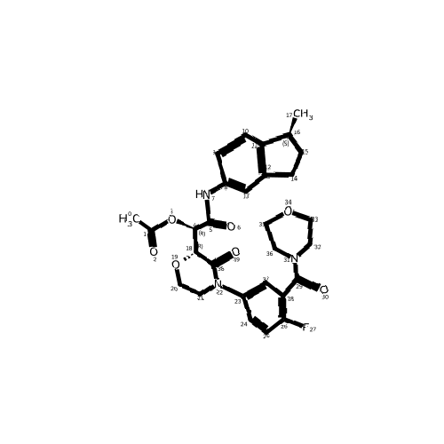 CC(=O)O[C@@H](C(=O)Nc1ccc2c(c1)CC[C@@H]2C)[C@H]1OCCN(c2ccc(F)c(C(=O)N3CCOCC3)c2)C1=O